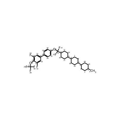 CC1CCC(C2CCC(C3CCC(C(F)(F)Oc4ccc(-c5cc(F)c(OC(F)(F)F)c(F)c5)cc4)CC3)CC2)CC1